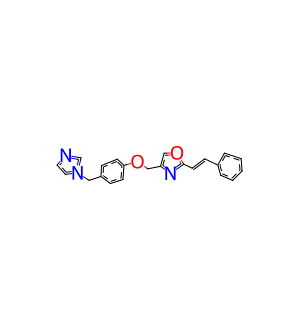 C(=C\c1nc(COc2ccc(Cn3ccnc3)cc2)co1)/c1ccccc1